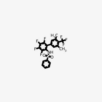 Cc1cc(-c2c(F)c(F)c(F)c(F)c2NS(=O)(=O)c2ccccc2)cc(C)c1C(F)(F)F